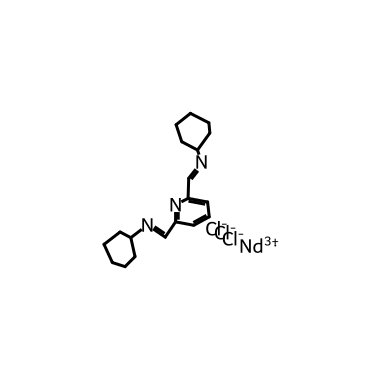 C(=NC1CCCCC1)c1cccc(C=NC2CCCCC2)n1.[Cl-].[Cl-].[Cl-].[Nd+3]